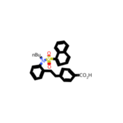 CCCCN(c1ccccc1CCc1ccc(C(=O)O)cc1)S(=O)(=O)c1cccc2ccccc12